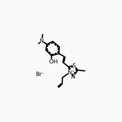 C=CC[n+]1nc(C)sc1/C=C/c1ccc(N(C)C)cc1O.[Br-]